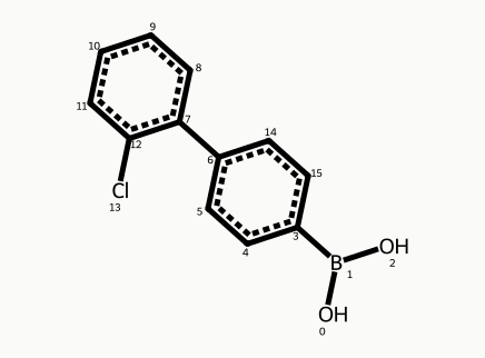 OB(O)c1ccc(-c2ccccc2Cl)cc1